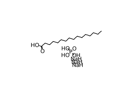 CCCCCCCCCCCCCCCC(=O)O.O=P(O)(O)O.[NaH].[NaH].[NaH]